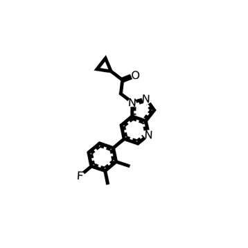 Cc1c(F)ccc(-c2cnc3cnn(CC(=O)C4CC4)c3c2)c1C